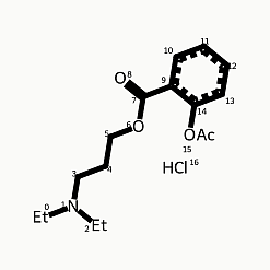 CCN(CC)CCCOC(=O)c1ccccc1OC(C)=O.Cl